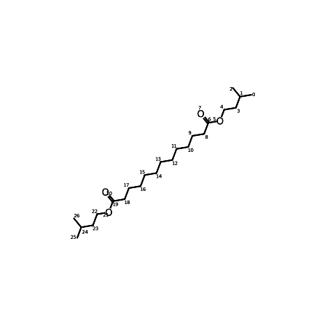 CC(C)CCOC(=O)CCCCCCCCCCCC(=O)OCCC(C)C